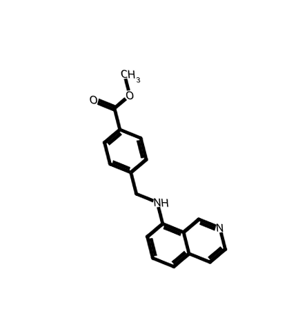 COC(=O)c1ccc(CNc2cccc3ccncc23)cc1